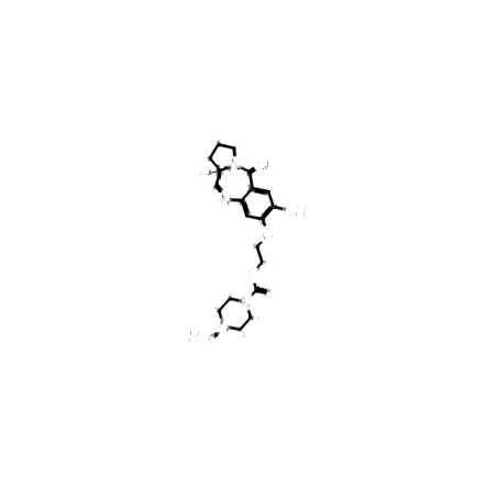 Cc1cc2c(cc1OCCSC(=S)N1CCN(C)CC1)N=C[C@@H]1CCCN1C2=O